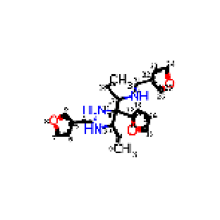 CCC(NCc1ccoc1)C(N)(c1ccco1)C(CC)NCc1ccoc1